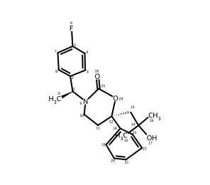 C[C@@H](c1ccc(F)cc1)N1CC[C@](CC(C)(C)O)(c2ccccc2)OC1=O